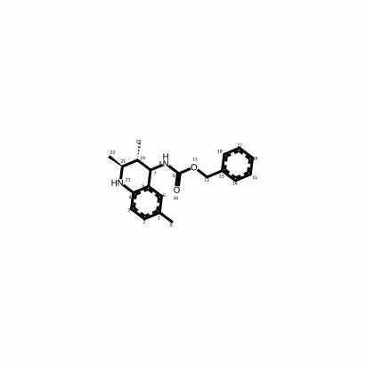 Cc1ccc2c(c1)C(NC(=O)OCc1ccccc1)[C@@H](C)[C@H](C)N2